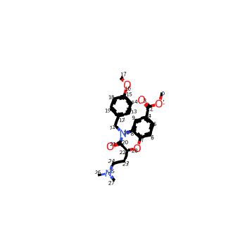 COC(=O)c1ccc2c(c1)N(Cc1ccc(OC)cc1)C(=O)C(CCN(C)C)O2